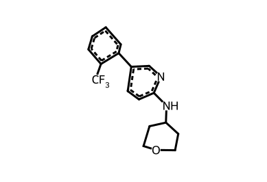 FC(F)(F)c1ccccc1-c1ccc(NC2CCOCC2)nc1